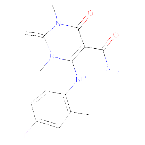 C=C1N(C)C(=O)C(C(N)=O)=C(Nc2ccc(I)cc2C)N1C